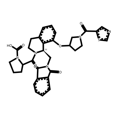 O=C(c1cncs1)N1CCC(Oc2cccc3c2[C@@H](CN2C(=O)c4ccccc4C2=O)N(C(=O)C2CCCN2C(=O)O)CC3)C1